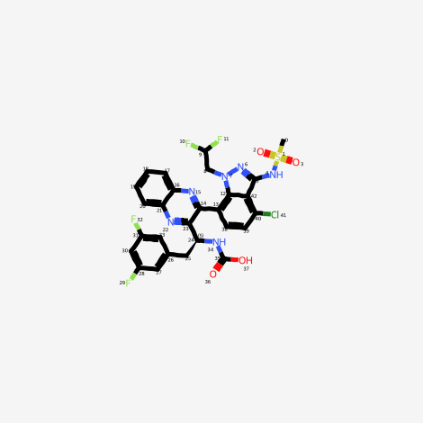 CS(=O)(=O)Nc1nn(CC(F)F)c2c(-c3nc4ccccc4nc3[C@H](Cc3cc(F)cc(F)c3)NC(=O)O)ccc(Cl)c12